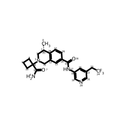 C[C@H]1CN(C2(C(N)=O)CCC2)Cc2cc(C(=O)Nc3cncc(CC(F)(F)F)c3)ccc21